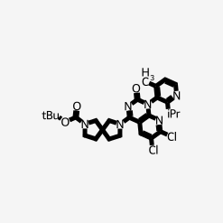 Cc1ccnc(C(C)C)c1-n1c(=O)nc(N2CCC3(CCN(C(=O)OC(C)(C)C)C3)C2)c2cc(Cl)c(Cl)nc21